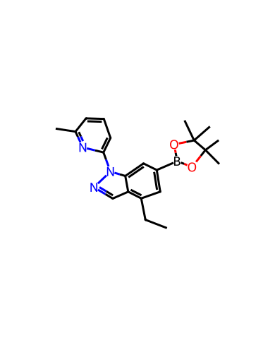 CCc1cc(B2OC(C)(C)C(C)(C)O2)cc2c1cnn2-c1cccc(C)n1